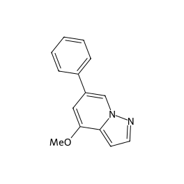 COc1cc(-c2ccccc2)cn2nccc12